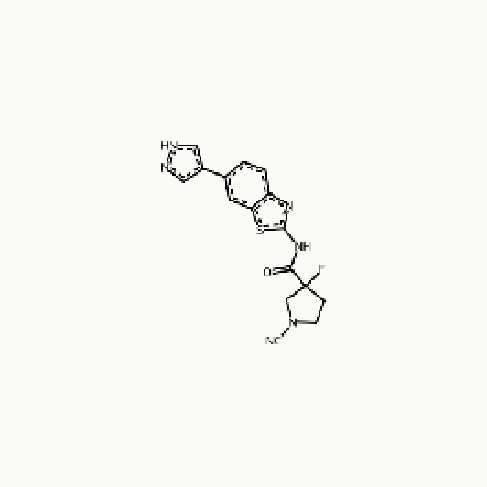 N#CN1CCC(F)(C(=O)Nc2nc3ccc(-c4cn[nH]c4)cc3s2)C1